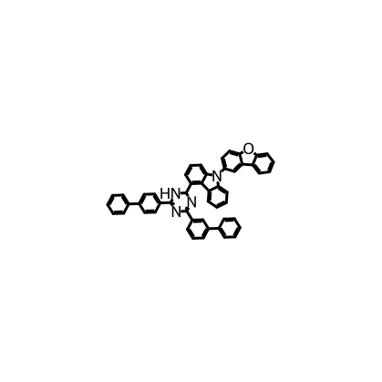 c1ccc(-c2ccc(C3=NC(c4cccc(-c5ccccc5)c4)=NC(c4cccc5c4c4ccccc4n5-c4ccc5oc6ccccc6c5c4)N3)cc2)cc1